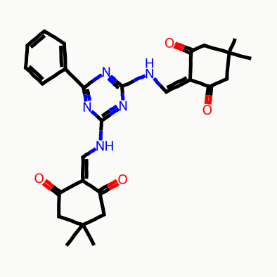 CC1(C)CC(=O)C(=CNc2nc(NC=C3C(=O)CC(C)(C)CC3=O)nc(-c3ccccc3)n2)C(=O)C1